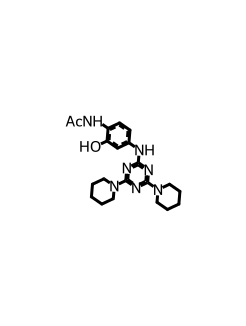 CC(=O)Nc1ccc(Nc2nc(N3CCCCC3)nc(N3CCCCC3)n2)cc1O